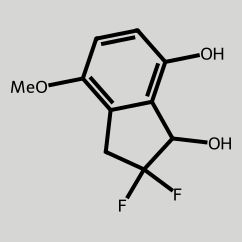 COc1ccc(O)c2c1CC(F)(F)C2O